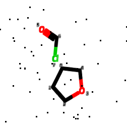 C1CCOC1.O=CCl